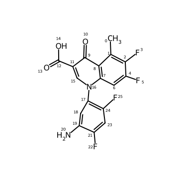 Cc1c(F)c(F)cc2c1c(=O)c(C(=O)O)cn2-c1cc(N)c(F)cc1F